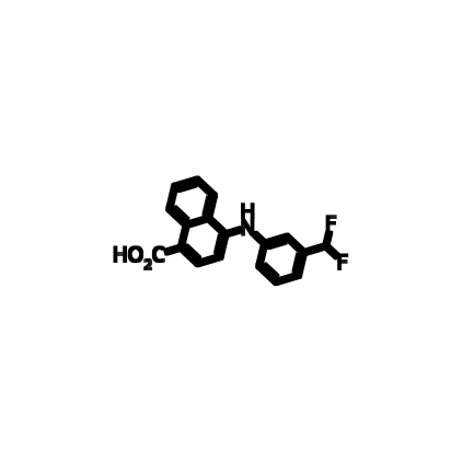 O=C(O)c1ccc(Nc2cccc(C(F)F)c2)c2ccccc12